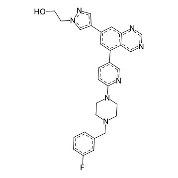 OCCn1cc(-c2cc(-c3ccc(N4CCN(Cc5cccc(F)c5)CC4)nc3)c3cncnc3c2)cn1